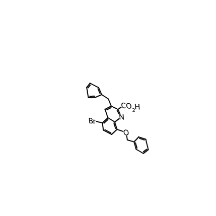 O=C(O)c1nc2c(OCc3ccccc3)ccc(Br)c2cc1Cc1ccccc1